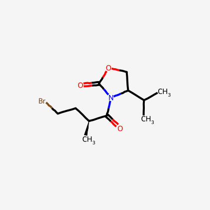 CC(C)C1COC(=O)N1C(=O)[C@@H](C)CCBr